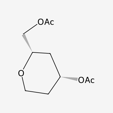 CC(=O)OC[C@@H]1C[C@H](OC(C)=O)CCO1